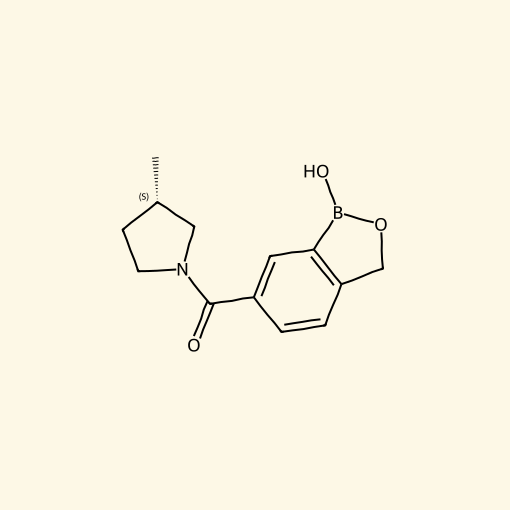 C[C@H]1CCN(C(=O)c2ccc3c(c2)B(O)OC3)C1